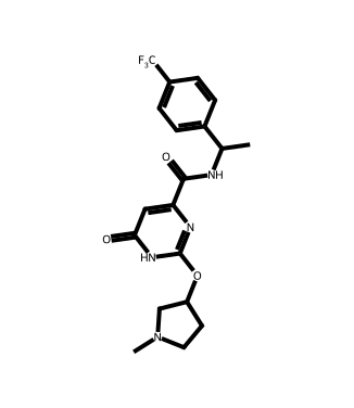 CC(NC(=O)c1cc(=O)[nH]c(OC2CCN(C)C2)n1)c1ccc(C(F)(F)F)cc1